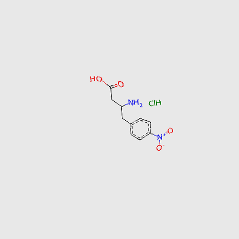 Cl.NC(CC(=O)O)Cc1ccc([N+](=O)[O-])cc1